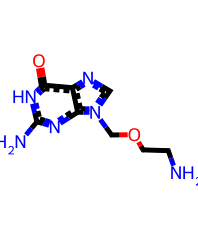 NCCOCn1cnc2c(=O)[nH]c(N)nc21